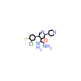 Nc1oc2c(-c3ccncc3)ncc(-c3ccc(F)c(Cl)c3)c2c1N